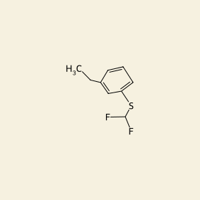 CCc1cccc(SC(F)F)c1